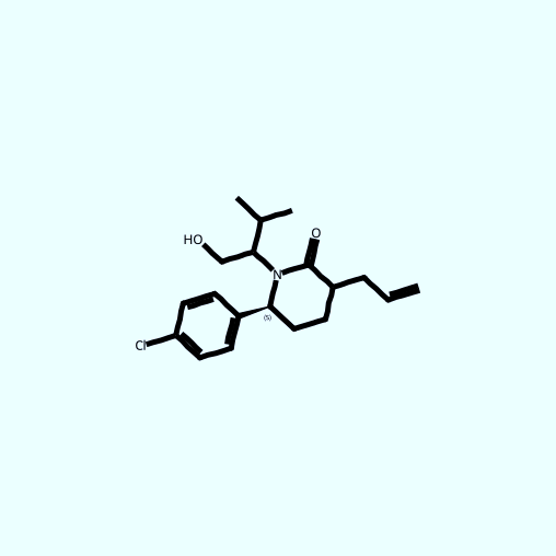 C=CCC1CC[C@@H](c2ccc(Cl)cc2)N(C(CO)C(C)C)C1=O